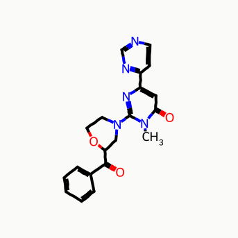 Cn1c(N2CCOC(C(=O)c3ccccc3)C2)nc(-c2ccncn2)cc1=O